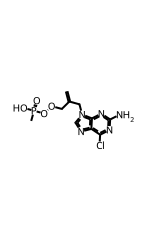 C=C(COOP(C)(=O)O)Cn1cnc2c(Cl)nc(N)nc21